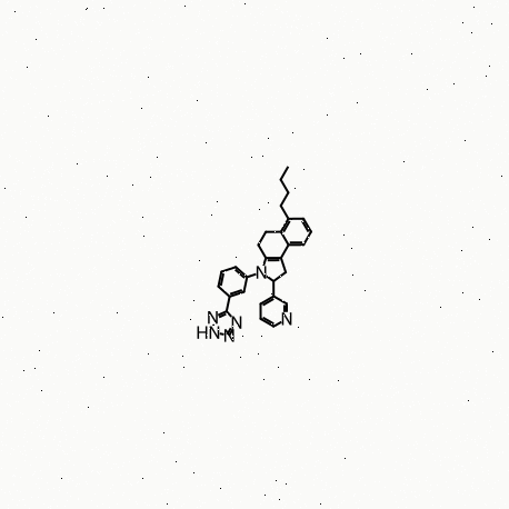 CCCCc1cccc2c1CCC1=C2CC(c2cccnc2)N1c1cccc(-c2nn[nH]n2)c1